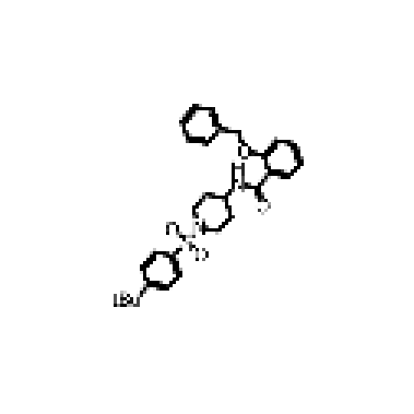 CC(C)(C)c1ccc(S(=O)(=O)N2CCC(NC(=O)c3ccccc3OCc3ccccc3)CC2)cc1